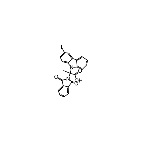 CC(C(=O)O)(N1C(=O)c2ccccc2C1=O)n1c2ccccc2c2cc(I)ccc21